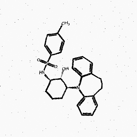 Cc1ccc(S(=O)(=O)N[C@@H]2CCC[C@H](N3c4ccccc4CCc4ccccc43)[C@H]2O)cc1